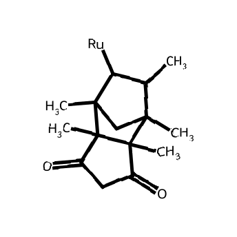 CC1[CH]([Ru])C2(C)CC1(C)C1(C)C(=O)CC(=O)C21C